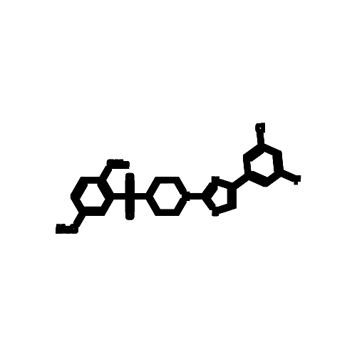 COc1ccc(OC)c(S(=O)(=O)C2CCN(c3nc(-c4cc(F)cc(Cl)c4)cs3)CC2)c1